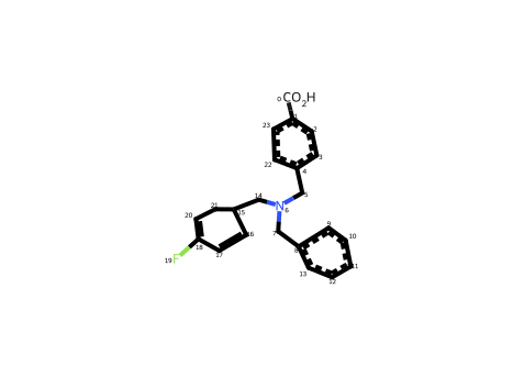 O=C(O)c1ccc(CN(Cc2ccccc2)CC2C=CC(F)=CC2)cc1